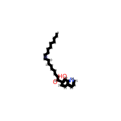 CCCCCCCC/C=C\CCCCCCCC(=O)c1ccc2cccnc2c1O